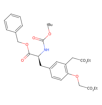 CCOC(=O)COc1ccc(C[C@H](NC(=O)OC(C)(C)C)C(=O)OCc2ccccc2)cc1CC(=O)OCC